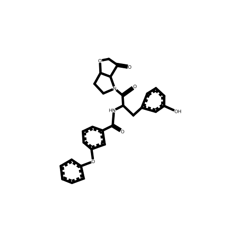 O=C(NC(Cc1cccc(O)c1)C(=O)N1CCC2OCC(=O)C21)c1cccc(Oc2ccccc2)c1